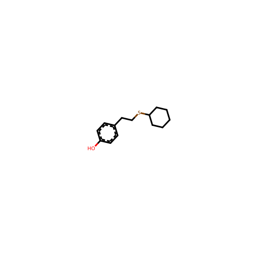 Oc1ccc(CCSC2CCCCC2)cc1